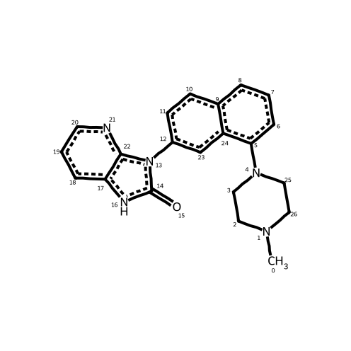 CN1CCN(c2cccc3ccc(-n4c(=O)[nH]c5cccnc54)cc23)CC1